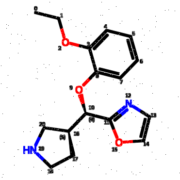 CCOc1ccccc1O[C@@H](c1ncco1)[C@H]1CCNC1